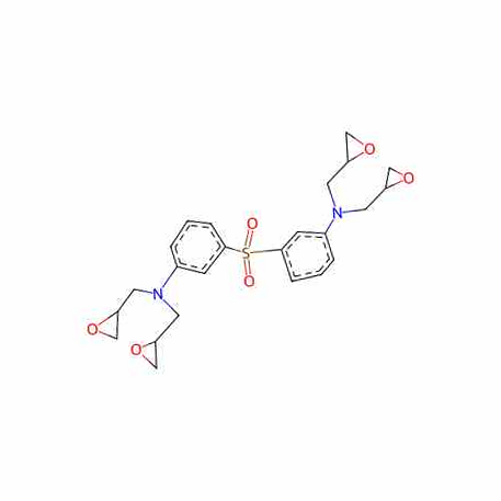 O=S(=O)(c1cccc(N(CC2CO2)CC2CO2)c1)c1cccc(N(CC2CO2)CC2CO2)c1